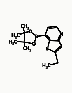 CCc1cc2nccc(B3OC(C)(C)C(C)(C)O3)c2s1